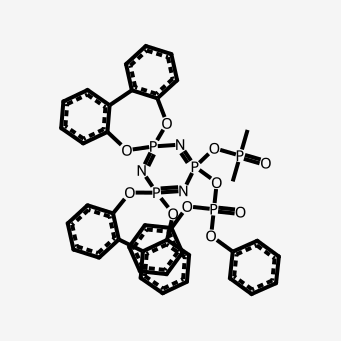 CP(C)(=O)OP1(OP(=O)(Oc2ccccc2)Oc2ccccc2)=NP2(=NP3(=N1)Oc1ccccc1-c1ccccc1O3)Oc1ccccc1-c1ccccc1O2